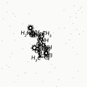 CCCC(NC(=O)C1C[C@@H](NS(=O)(=O)c2ccc(Cl)c(Cl)c2)CN1C(=O)[C@@H](NC(=O)OCC(C)C)C1CCCCC1)C(=O)C(=O)NCC(=O)N[C@H](C(N)=O)c1ccccc1